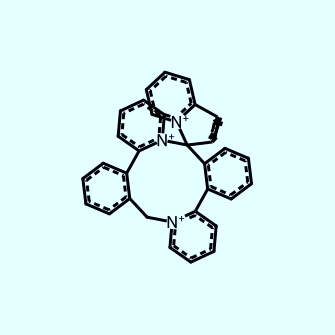 c1ccc2c(c1)C[n+]1ccccc1-c1ccccc1C1(c3ccccc3-c3cccc[n+]31)[n+]1ccccc1-2